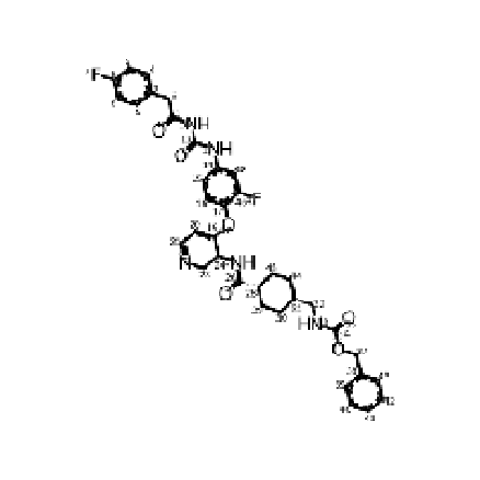 O=C(Cc1ccc(F)cc1)NC(=O)Nc1ccc(OC2=CC=NCC2NC(=O)[C@H]2CC[C@H](CNC(=O)OCc3ccccc3)CC2)c(F)c1